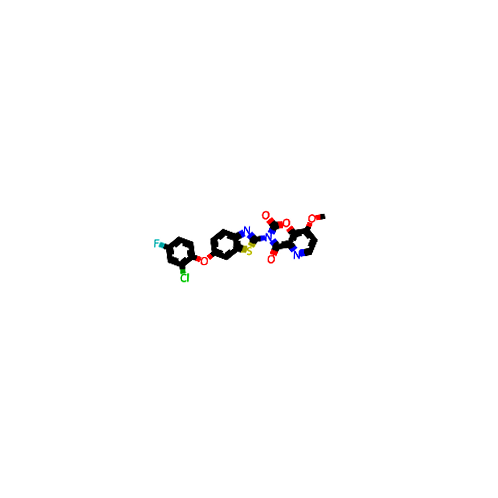 COc1ccnc2c(=O)n(-c3nc4ccc(Oc5ccc(F)cc5Cl)cc4s3)c(=O)oc12